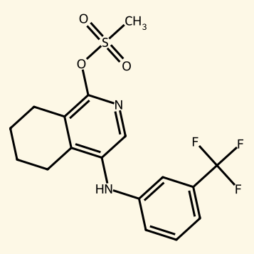 CS(=O)(=O)Oc1ncc(Nc2cccc(C(F)(F)F)c2)c2c1CCCC2